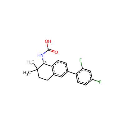 CC1(C)CCc2cc(-c3ccc(F)cc3F)ccc2[C@H]1NC(=O)O